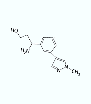 Cn1cc(-c2c[c]cc(C(N)CCO)c2)cn1